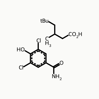 CC(CC(=O)O)CC(C)(C)C.NC(=O)c1cc(Cl)c(O)c(Cl)c1